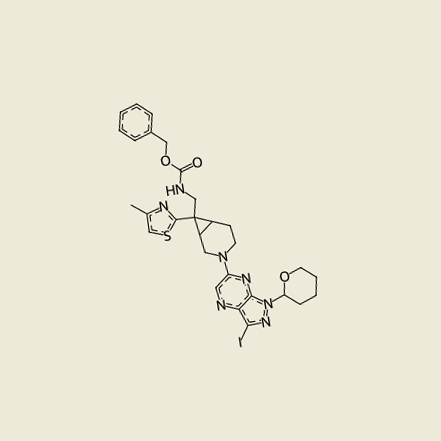 Cc1csc(C2(CNC(=O)OCc3ccccc3)C3CCN(c4cnc5c(I)nn(C6CCCCO6)c5n4)CC32)n1